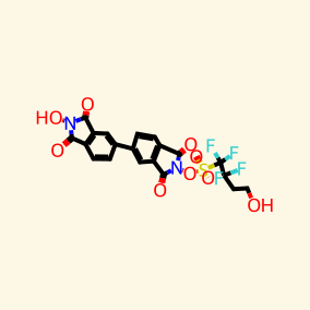 O=C1c2ccc(-c3ccc4c(c3)C(=O)N(OS(=O)(=O)C(F)(F)C(F)(F)CCO)C4=O)cc2C(=O)N1O